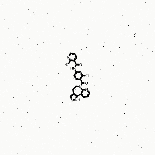 O=C(Nc1ccc(C(=O)N2CCc3cn[nH]c3-c3cccnc32)c(Cl)c1)c1cccnc1Cl